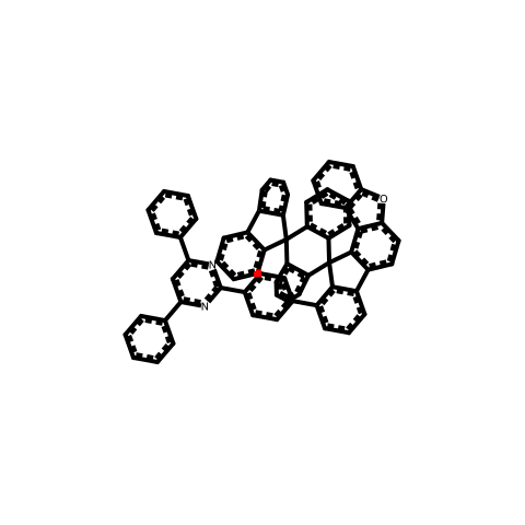 c1ccc(-c2cc(-c3ccccc3)nc(-c3ccc(-c4cccc5c4C4(c6ccccc6C6(c7ccccc7-c7ccccc76)c6ccccc64)c4c-5ccc5oc6ccccc6c45)cc3)n2)cc1